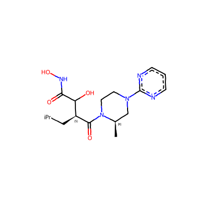 CC(C)C[C@H](C(=O)N1CCN(c2ncccn2)C[C@H]1C)C(O)C(=O)NO